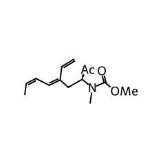 C=C/C(=C\C=C/C)C[C@@H](C(C)=O)N(C)C(=O)OC